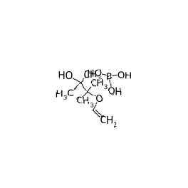 C=COC(C)(C)C(C)(C)O.OB(O)O